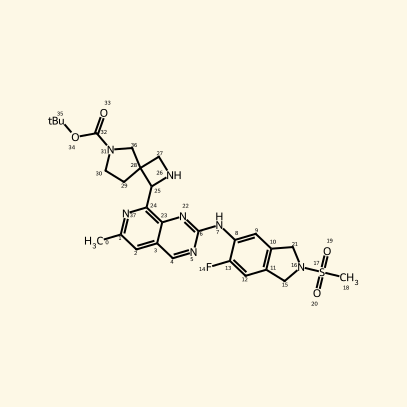 Cc1cc2cnc(Nc3cc4c(cc3F)CN(S(C)(=O)=O)C4)nc2c(C2NCC23CCN(C(=O)OC(C)(C)C)C3)n1